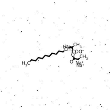 CC(=N)C(=O)[O-].CCC(=O)[O-].CCCCCCCCCCCC.[Na+].[Na+]